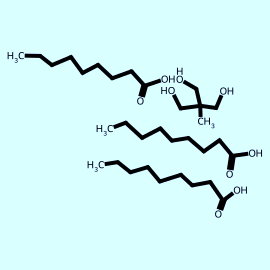 CC(CO)(CO)CO.CCCCCCCCC(=O)O.CCCCCCCCC(=O)O.CCCCCCCCC(=O)O